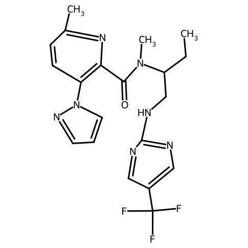 CCC(CNc1ncc(C(F)(F)F)cn1)N(C)C(=O)c1nc(C)ccc1-n1cccn1